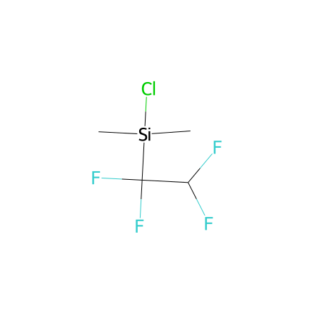 C[Si](C)(Cl)C(F)(F)C(F)F